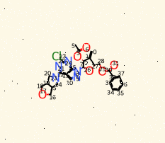 C=C1[C@@H](OC(C)=O)[C@H](n2ncc3c(N4CC5COCC5C4)nc(Cl)nc32)O[C@@H]1COC(=O)c1ccccc1